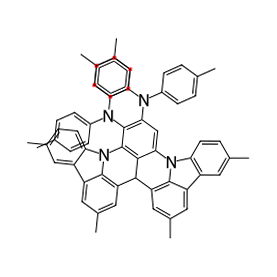 Cc1ccc(N(c2ccc(C)cc2)c2cc3c4c(c2N(c2ccc(C)cc2)c2ccc(C)cc2)-n2c5ccc(C)cc5c5cc(C)cc(c52)C4c2cc(C)cc4c5cc(C)ccc5n-3c24)cc1